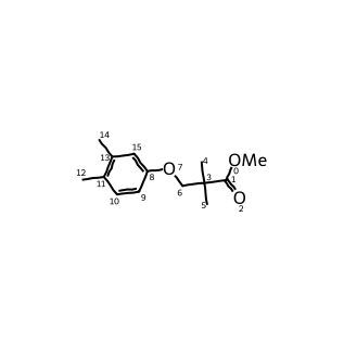 COC(=O)C(C)(C)COc1ccc(C)c(C)c1